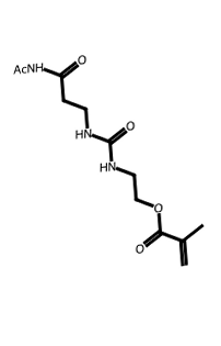 C=C(C)C(=O)OCCNC(=O)NCCC(=O)NC(C)=O